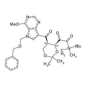 COc1ncnc2c(C(=O)[C@@H]3COC(C)(C)O[C@@H]3C(=O)C(=O)[Si](C)(C)C(C)(C)C)cn(COCc3ccccc3)c12